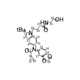 CC(C)(C)c1cc2cc(N(C(=O)C3CC3)c3ccc4c(c3)OCO4)ccc2n1CCCC(=O)NCCO